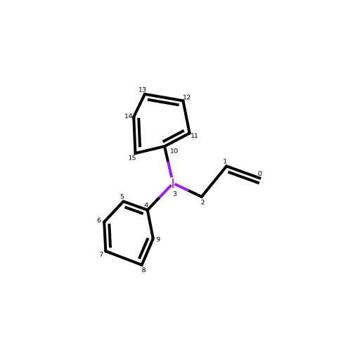 C=CCI(c1ccccc1)c1ccccc1